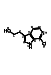 OCCc1c[nH]c2c(Cl)nccc12